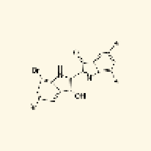 O=C1C(c2[nH]c3c(Br)cc(Br)cc3c2O)=Nc2c(Br)cc(Br)cc21